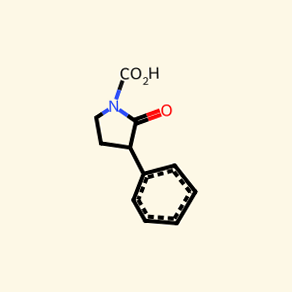 O=C(O)N1CCC(c2ccccc2)C1=O